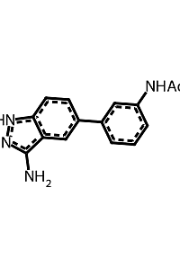 CC(=O)Nc1cccc(-c2ccc3[nH]nc(N)c3c2)c1